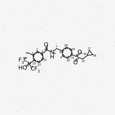 Cc1cc(C(=O)NCc2ccc(S(=O)(=O)CC3CC3)cc2)ccc1C(O)(C(F)(F)F)C(F)(F)F